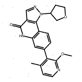 COc1nccc(C)c1-c1ccc2c(c1)[nH]c(=O)c1cnn(C3CCOC3)c12